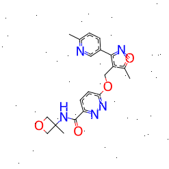 Cc1ccc(-c2noc(C)c2COc2ccc(C(=O)NC3(C)COC3)nn2)cn1